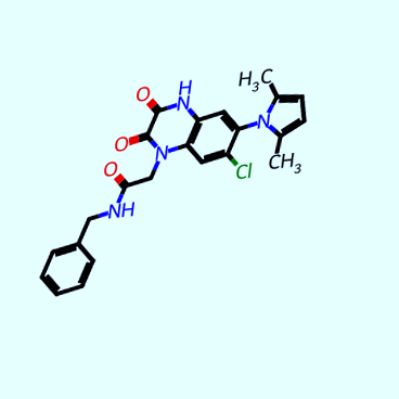 Cc1ccc(C)n1-c1cc2[nH]c(=O)c(=O)n(CC(=O)NCc3ccccc3)c2cc1Cl